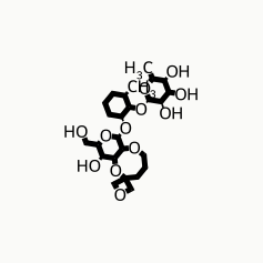 CC1O[C@@H](OC2[C@H](C)CCC[C@H]2O[C@@H]2OC(CO)[C@H](O)C3OC4(CCCOC32)COC4)[C@@H](O)C(O)[C@@H]1O